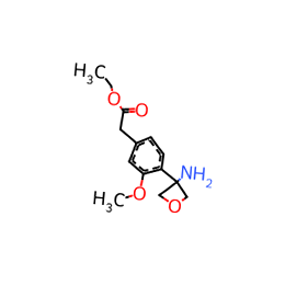 CCOC(=O)Cc1ccc(C2(N)COC2)c(OC)c1